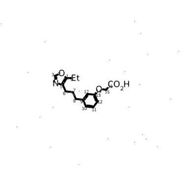 CCc1ocnc1CCCc1cccc(OCC(=O)O)c1